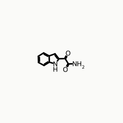 NC(=O)C(=O)c1cc2ccccc2[nH]1